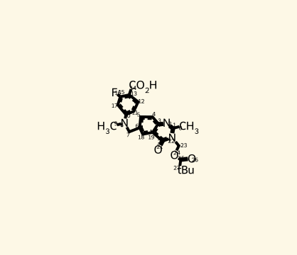 Cc1nc2ccc(CN(C)c3ccc(C(=O)O)c(F)c3)cc2c(=O)n1COC(=O)C(C)(C)C